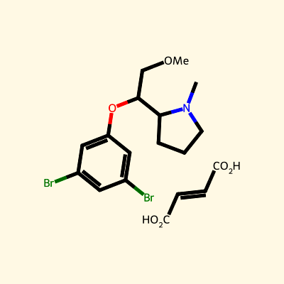 COCC(Oc1cc(Br)cc(Br)c1)C1CCCN1C.O=C(O)C=CC(=O)O